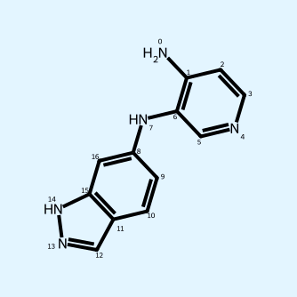 Nc1ccncc1Nc1ccc2cn[nH]c2c1